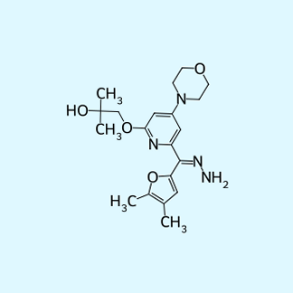 Cc1cc(C(=NN)c2cc(N3CCOCC3)cc(OCC(C)(C)O)n2)oc1C